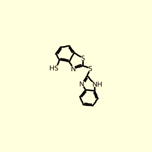 Sc1cccc2sc(Sc3nc4ccccc4[nH]3)nc12